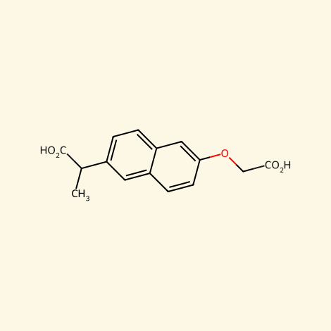 CC(C(=O)O)c1ccc2cc(OCC(=O)O)ccc2c1